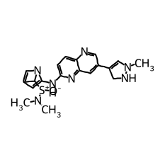 CN1C=C(c2cnc3ccc(Nc4cc5cn4C5[S+]([O-])N(C)C)nc3c2)CN1